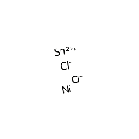 [Cl-].[Cl-].[Ni].[Sn+2]